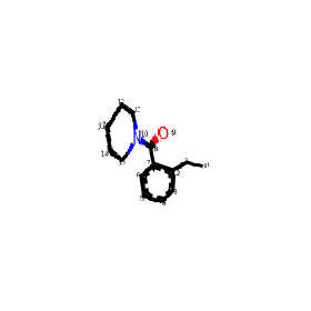 [CH2]Cc1ccccc1C(=O)N1CCCCC1